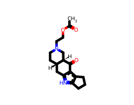 CC(=O)OCCN1CC[C@H]2Cc3[nH]c4c(c3C(=O)[C@@H]2C1)CCC4